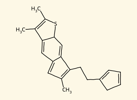 CC1=C(CCC2=CC=CC2)C2=CC3SC(C)=C(C)C3=CC2=C1